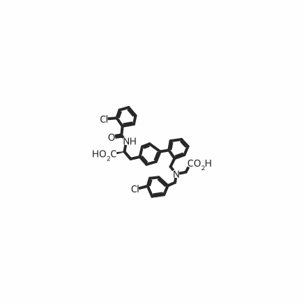 O=C(O)CN(Cc1ccc(Cl)cc1)Cc1ccccc1-c1ccc(C[C@H](NC(=O)c2ccccc2Cl)C(=O)O)cc1